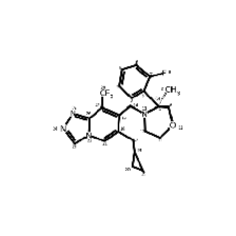 C[C@]1(c2ccccc2F)COCCN1Cc1c(CC2CC2)cn2cnnc2c1C(F)(F)F